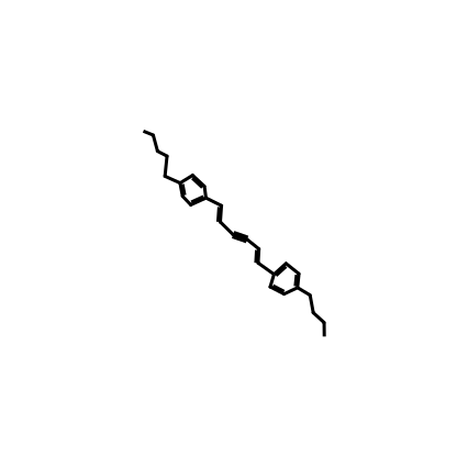 CCCCCc1ccc(/C=C/C#C/C=C/c2ccc(CCCC)cc2)cc1